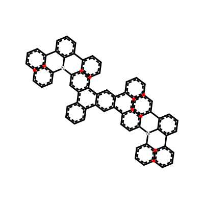 c1ccc(-c2cccc(-c3ccccc3)c2N(c2ccccc2)c2ccc3c(c2)c2ccccc2c2cc4c5ccc(N(c6ccccc6)c6c(-c7ccccc7)cccc6-c6ccccc6)cc5c5ccccc5c4cc32)cc1